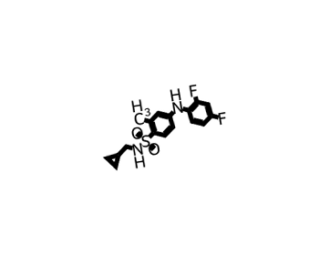 Cc1cc(Nc2ccc(F)cc2F)ccc1S(=O)(=O)NCC1CC1